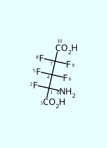 NC(F)(C(=O)O)C(F)(F)C(F)(F)C(=O)O